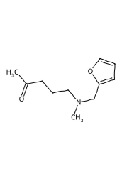 CC(=O)CCCN(C)Cc1ccco1